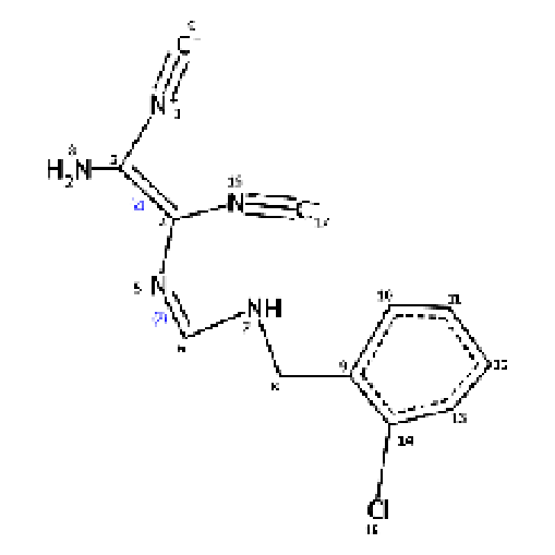 [C-]#[N+]/C(N)=C(/N=C\NCc1ccccc1Cl)[N+]#[C-]